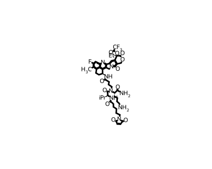 CC[C@@]1(OC(=O)C(F)(F)F)C(=O)OCc2c1cc1n(c2=O)Cc2c-1nc1cc(F)c(C)c3c1c2[C@@H](NC(=O)CCCN(C(=O)[C@@H](NC(=O)CCCCCN1C(=O)C=CC1=O)C(C)C)[C@@H](CCCCN)C(N)=O)CC3